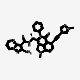 C[C@@H](NC(=O)c1c(N)nn2cccnc12)c1c2c3c(ccc(C#Cc4cnn(C)c4)c3c(=O)n1-c1ccccc1)N(C)C2